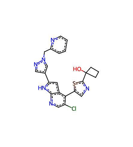 OC1(c2ncc(-c3c(Cl)cnc4[nH]c(-c5cnn(Cc6ccccn6)c5)cc34)s2)CCC1